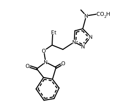 CCC(Cn1cc(N(C)C(=O)O)nn1)ON1C(=O)c2ccccc2C1=O